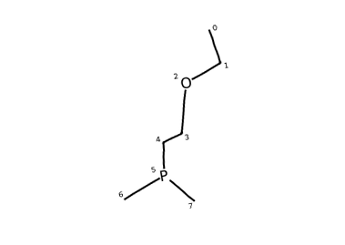 CCOCCP(C)C